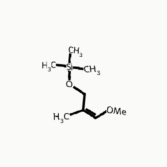 COC=C(C)CO[Si](C)(C)C